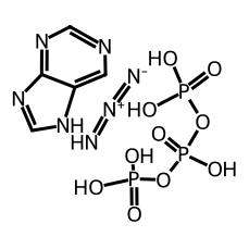 O=P(O)(O)OP(=O)(O)OP(=O)(O)O.[N-]=[N+]=N.c1ncc2[nH]cnc2n1